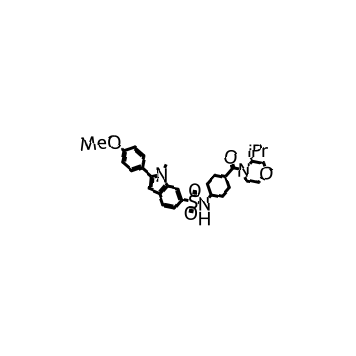 COc1ccc(-c2cc3ccc(S(=O)(=O)NC4CCC(C(=O)N5CCOC[C@@H]5C(C)C)CC4)cc3n2C)cc1